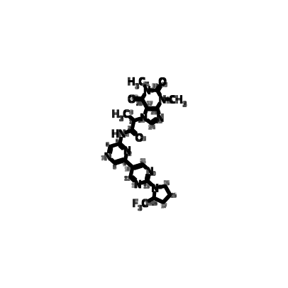 CC(C(=O)Nc1cncc(-c2cnc(N3CCCC3C(F)(F)F)nc2)n1)n1cnc2c1c(=O)n(C)c(=O)n2C